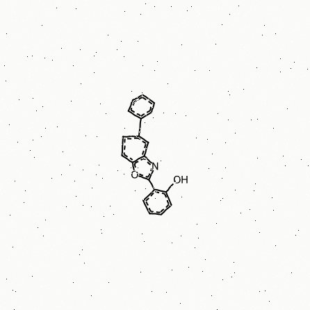 Oc1ccccc1-c1nc2cc(-c3ccccc3)ccc2o1